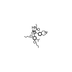 CCCCOc1cc(OCCCC)c(C(C)C)cc1-c1onc(C(=O)NCC)c1-c1ccc2c(c1)CCN(C)CC2